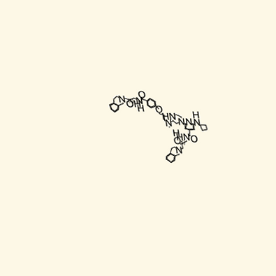 CN(CCCOc1ccc(C(=O)NC[C@H](O)CN2CCc3ccccc3C2)cc1)C1CN(c2cc(C(=O)NC[C@H](O)CN3CCc4ccccc4C3)cc(NC3CCC3)n2)CCN1